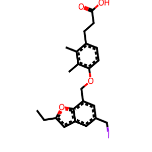 CCc1cc2cc(CI)cc(COc3ccc(CCC(=O)O)c(C)c3C)c2o1